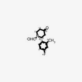 Cc1cc(F)ccc1[C@H]1CC(=O)CCN1[C]=O